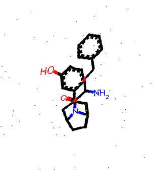 NC(CCc1ccccc1)C(=O)N1C2CCC1CC(c1cccc(O)c1)C2